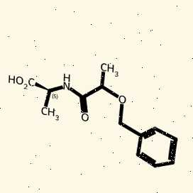 CC(OCc1ccccc1)C(=O)N[C@@H](C)C(=O)O